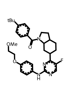 COCCOc1ccc(Nc2ncc(F)c(C3CCC4CCN(C(=O)c5ccc(C(C)(C)C)cc5)C4C3)n2)cc1